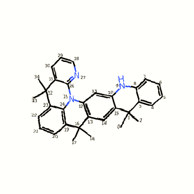 CC1(C)c2ccccc2Nc2cc3c(cc21)C(C)(C)c1cccc2c1N3c1ncccc1C2(C)C